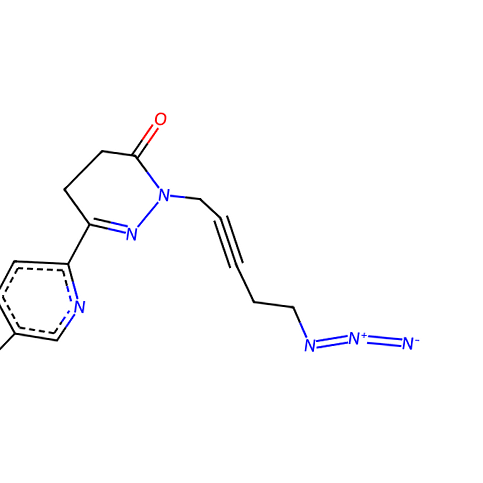 [N-]=[N+]=NCCC#CCN1N=C(c2ccc(Cl)cn2)CCC1=O